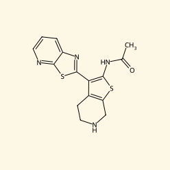 CC(=O)Nc1sc2c(c1-c1nc3cccnc3s1)CCNC2